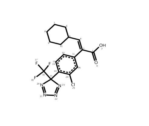 O=C(O)/C(=C/C1CCCCC1)c1ccc(C2(C(F)(F)F)N=NN=N2)c(Cl)c1